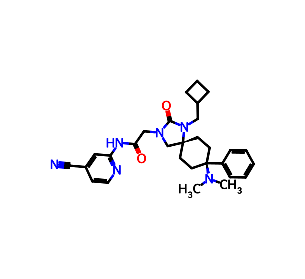 CN(C)[C@]1(c2ccccc2)CC[C@@]2(CC1)CN(CC(=O)Nc1cc(C#N)ccn1)C(=O)N2CC1CCC1